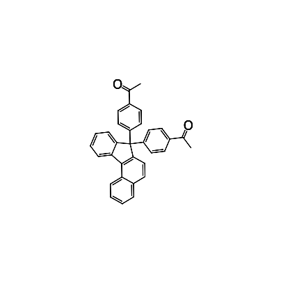 CC(=O)c1ccc(C2(c3ccc(C(C)=O)cc3)c3ccccc3-c3c2ccc2ccccc32)cc1